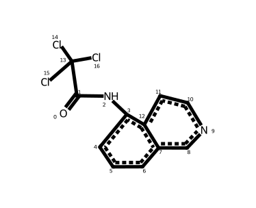 O=C(Nc1cccc2cnccc12)C(Cl)(Cl)Cl